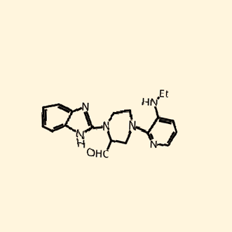 CCNc1cccnc1N1CCN(c2nc3ccccc3[nH]2)C(C=O)C1